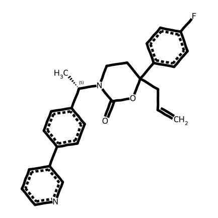 C=CCC1(c2ccc(F)cc2)CCN([C@@H](C)c2ccc(-c3cccnc3)cc2)C(=O)O1